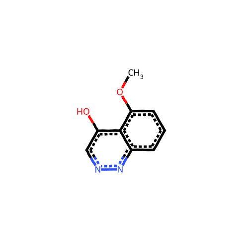 COc1cccc2nncc(O)c12